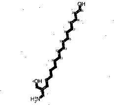 NCC(CO)CCCCCCCCCCCCCCCCCO